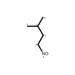 CC(C)C[CH]N=O